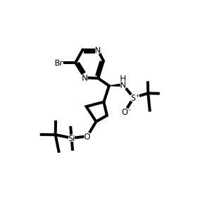 CC(C)(C)[S+]([O-])N[C@H](c1cncc(Br)n1)C1CC(O[Si](C)(C)C(C)(C)C)C1